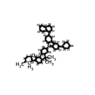 C=C/C=C\c1oc2c3c(ccc2c1C)C(C)(C)c1cc(-n2c4ccc(-c5ccccc5)cc4c4cc(-c5cccc6ccccc56)ccc42)ccc1-3